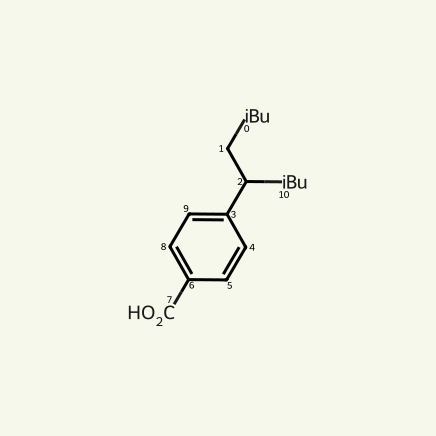 CCC(C)CC(c1ccc(C(=O)O)cc1)C(C)CC